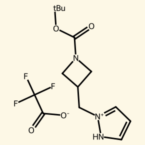 CC(C)(C)OC(=O)N1CC(C[n+]2ccc[nH]2)C1.O=C([O-])C(F)(F)F